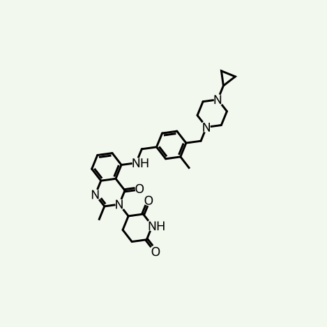 Cc1cc(CNc2cccc3nc(C)n(C4CCC(=O)NC4=O)c(=O)c23)ccc1CN1CCN(C2CC2)CC1